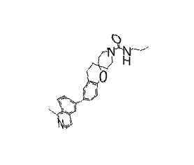 CCCNC(=O)N1CCC2(CCc3cc(-c4ccc5c(C)nccc5c4)ccc3O2)CC1